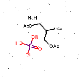 CC(=O)OCC(COC(C)=O)OC(C)=O.O=P(O)(O)O.[NaH]